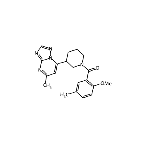 COc1ccc(C)cc1C(=O)N1CCCC(c2cc(C)nc3ncnn23)C1